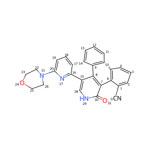 N#Cc1ccccc1-c1c(-c2ccccc2)c(-c2cccc(N3CCOCC3)n2)c[nH]c1=O